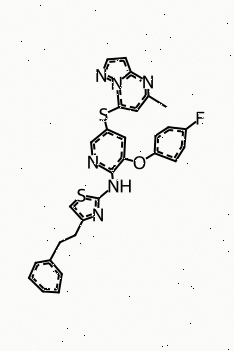 Cc1cc(Sc2cnc(Nc3nc(CCc4ccccc4)cs3)c(Oc3ccc(F)cc3)c2)n2nccc2n1